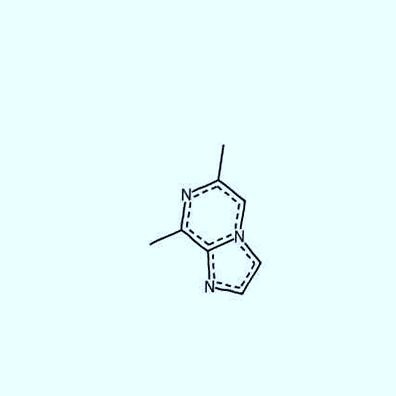 Cc1cn2ccnc2c(C)n1